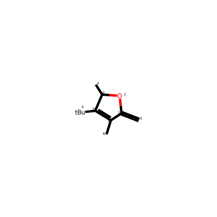 C=C1OC(C)C(C(C)(C)C)=C1C